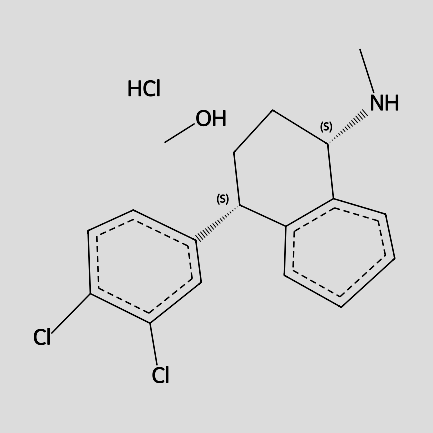 CN[C@H]1CC[C@@H](c2ccc(Cl)c(Cl)c2)c2ccccc21.CO.Cl